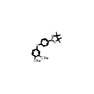 COc1ccc(Oc2ccc(B3OC(C)(C)C(C)(C)O3)cc2)cc1OC